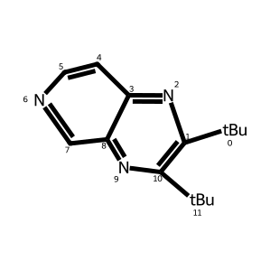 CC(C)(C)c1nc2ccncc2nc1C(C)(C)C